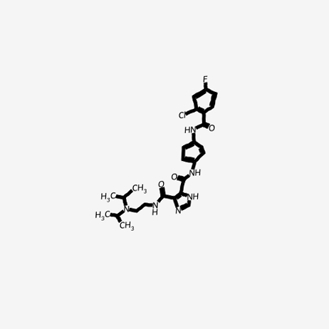 CC(C)N(CCNC(=O)c1nc[nH]c1C(=O)Nc1ccc(NC(=O)c2ccc(F)cc2Cl)cc1)C(C)C